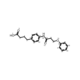 O=C(O)CCCc1ccc(NC(=O)CCOc2ccccc2)cc1